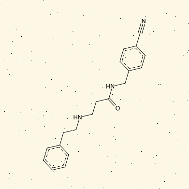 N#Cc1ccc(CNC(=O)CCNCCc2ccccc2)cc1